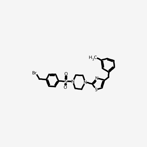 Cc1cccc(Cc2csc(N3CCN(S(=O)(=O)c4ccc(CBr)cc4)CC3)n2)c1